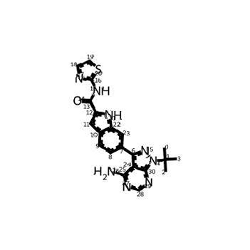 CC(C)(C)n1nc(-c2ccc3cc(C(=O)Nc4nccs4)[nH]c3c2)c2c(N)ncnc21